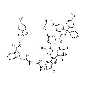 COc1ccc(C(OC[C@H]2O[C@@H](n3cc(C)c(=O)[nH]c3=O)C[C@H]2OP(OCCC#N)OC[C@H]2OC(n3cnc4c(=O)[nH]c(NC(=O)CCNC(=O)Cc5cn(C(=O)OCCS(=O)(=O)c6ccc(OC)cc6)c6ccccc56)nc43)C[C@H]2O)(c2ccccc2)c2ccc(OC)cc2)cc1